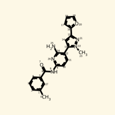 Cc1cccc(C(=O)Nc2ccc(-c3cc(-c4ccco4)nn3C)c(N)n2)c1